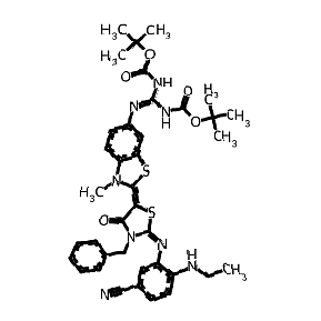 CCNc1ccc(C#N)cc1N=C1S/C(=C2\Sc3cc(N=C(NC(=O)OC(C)(C)C)NC(=O)OC(C)(C)C)ccc3N2C)C(=O)N1Cc1ccccc1